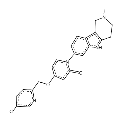 CN1CCc2[nH]c3cc(-n4ccc(OCc5ccc(Cl)cn5)cc4=O)ccc3c2C1